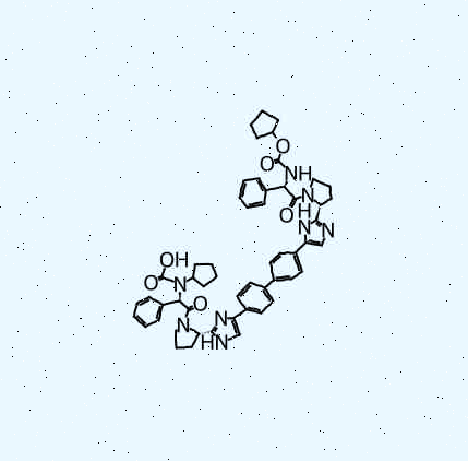 O=C(N[C@@H](C(=O)N1CCC[C@H]1c1ncc(-c2ccc(-c3ccc(-c4c[nH]c([C@@H]5CCCN5C(=O)[C@@H](c5ccccc5)N(C(=O)O)C5CCCC5)n4)cc3)cc2)[nH]1)c1ccccc1)OC1CCCC1